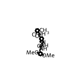 COc1ccc(OC)c(CNC(=O)Nc2nc3ccc(C(=O)Nc4c(C)cccc4Cl)cc3s2)c1